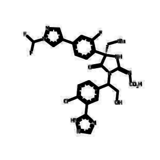 CC(C)(C)C[C@]1(c2ccc(-c3cnn(C(F)F)c3)cc2F)NC(=NC(=O)O)N(C(CO)c2ccc(Cl)c(-c3ncn[nH]3)c2)C1=O